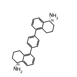 N[C@@H]1CCCc2c(-c3ccc(-c4cccc5c4CCC[C@H]5N)cc3)cccc21